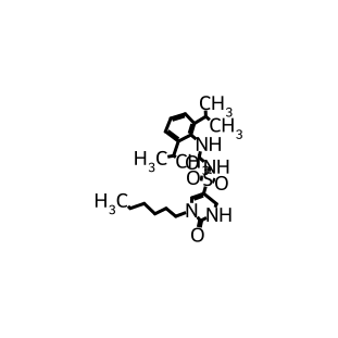 CCCCCCN1C=C(S(=O)(=O)NC(=O)Nc2c(C(C)C)cccc2C(C)C)CNC1=O